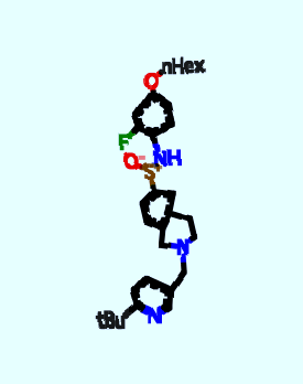 CCCCCCOc1ccc(N[S+]([O-])c2ccc3c(c2)CCN(Cc2ccc(C(C)(C)C)nc2)C3)c(F)c1